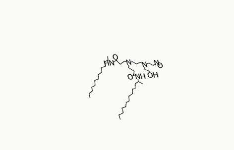 CCCCCCCCCCCCC(C)NC(=O)CCN(CCCN(CCO)CCN=O)CCC(=O)NC(C)CCCCCCCCCCCC